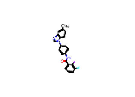 COc1ccc2c(c1)ncn2-c1ccc(NC(=O)c2cccc(F)c2I)cc1